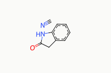 C#N.O=C1Cc2ccccc2N1